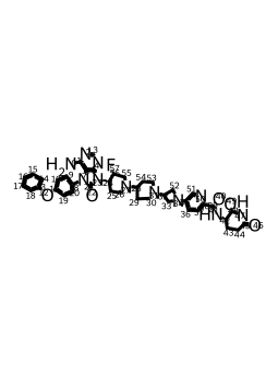 Nc1ncnc2c1n(-c1ccc(Oc3ccccc3)cc1)c(=O)n2[C@@H]1CCN(C2CCN(C3CN(c4ccc(C(=O)N[C@@H]5CCC(=O)NC5=O)nc4)C3)CC2)C[C@@H]1F